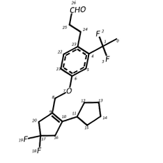 CC(F)(F)c1cc(OCC2=C(C3CCCC3)CC(F)(F)C2)ccc1CCC=O